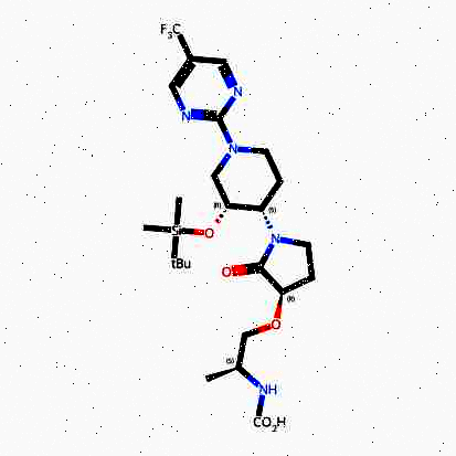 C[C@@H](CO[C@@H]1CCN([C@H]2CCN(c3ncc(C(F)(F)F)cn3)C[C@H]2O[Si](C)(C)C(C)(C)C)C1=O)NC(=O)O